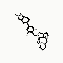 Cn1cc2cc(-c3cc(F)c(CN4Cc5ccn(CC6CCCO6)c5C4=O)c(F)c3)ccc2n1